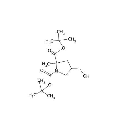 CC(C)(C)OC(=O)N1CC(CO)CC1(C)C(=O)OC(C)(C)C